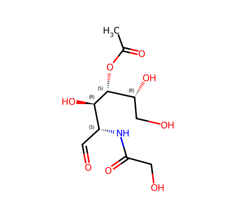 CC(=O)O[C@@H]([C@H](O)[C@@H](C=O)NC(=O)CO)[C@H](O)CO